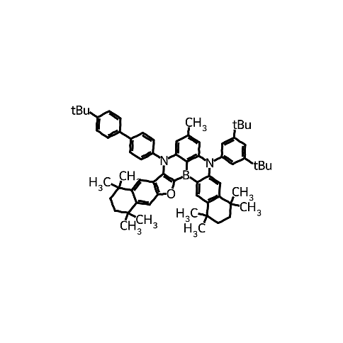 Cc1cc2c3c(c1)N(c1ccc(-c4ccc(C(C)(C)C)cc4)cc1)c1c(oc4cc5c(cc14)C(C)(C)CCC5(C)C)B3c1cc3c(cc1N2c1cc(C(C)(C)C)cc(C(C)(C)C)c1)C(C)(C)CCC3(C)C